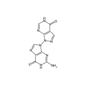 Nc1nc2c(ncn2-n2ncc3c(=O)[nH]cnc32)c(=S)[nH]1